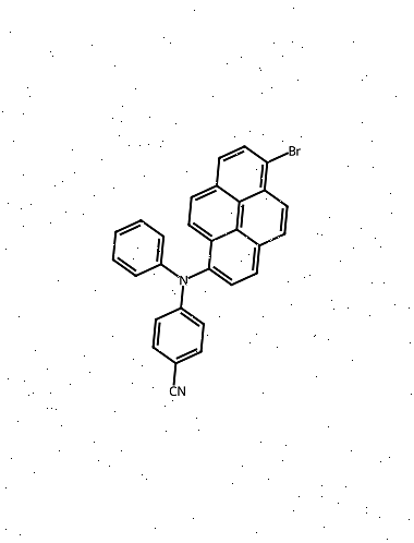 N#Cc1ccc(N(c2ccccc2)c2ccc3ccc4c(Br)ccc5ccc2c3c54)cc1